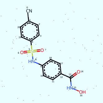 N#Cc1ccc(S(=O)(=O)Nc2ccc(C(=O)NO)cc2)cc1